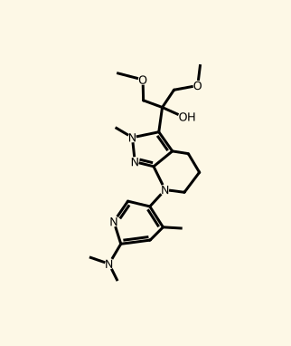 COCC(O)(COC)c1c2c(nn1C)N(c1cnc(N(C)C)cc1C)CCC2